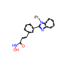 CC(C)n1c(-c2cccc(C=CC(=O)NO)c2)nc2ccccc21